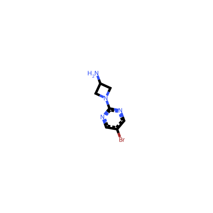 NC1CN(c2ncc(Br)cn2)C1